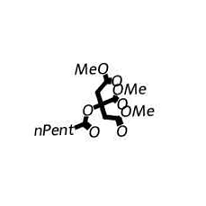 CCCCCC(=O)OC(CC(=O)OC)(CC(=O)OC)C(=O)OC